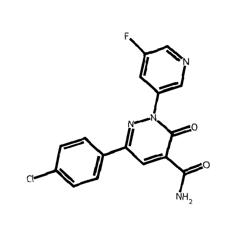 NC(=O)c1cc(-c2ccc(Cl)cc2)nn(-c2cncc(F)c2)c1=O